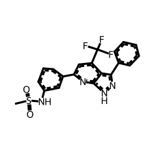 CS(=O)(=O)Nc1cccc(-c2cc(C(F)(F)F)c3c(-c4ccccc4)n[nH]c3n2)c1